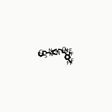 FC(F)(F)c1ccc(-c2cc(Cn3cc4nc(C5Cc6ccccc6S5)nc-4cn3)on2)c(C(F)(F)F)c1